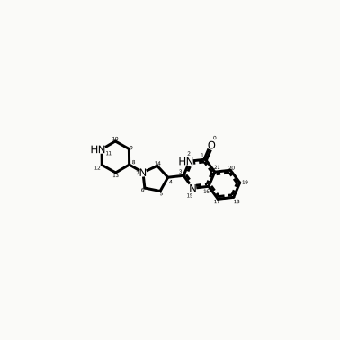 O=c1[nH]c(C2CCN(C3CCNCC3)C2)nc2ccccc12